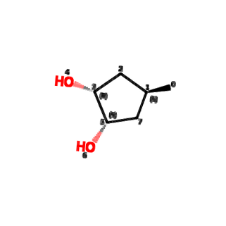 C[C@@H]1C[C@@H](O)[C@@H](O)C1